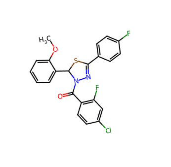 COc1ccccc1C1SC(c2ccc(F)cc2)=NN1C(=O)c1ccc(Cl)cc1F